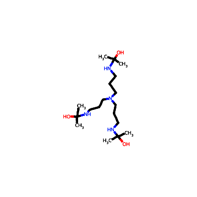 CC(C)(O)NCCCN(CCCNC(C)(C)O)CCCNC(C)(C)O